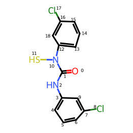 O=C(Nc1cccc(Cl)c1)N(S)c1cccc(Cl)c1